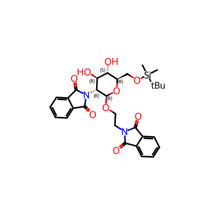 CC(C)(C)[Si](C)(C)OC[C@H]1O[C@@H](OCCN2C(=O)c3ccccc3C2=O)[C@H](N2C(=O)c3ccccc3C2=O)[C@@H](O)[C@@H]1O